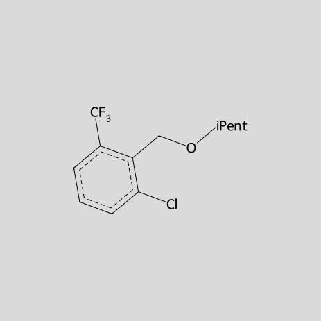 CCCC(C)OCc1c(Cl)cccc1C(F)(F)F